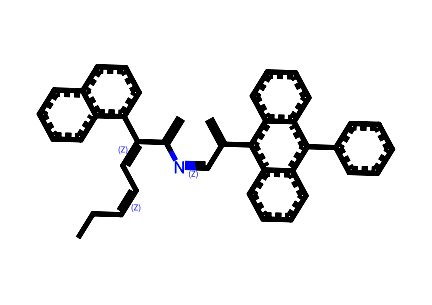 C=C(/N=C\C(=C)c1c2ccccc2c(-c2ccccc2)c2ccccc12)/C(=C\C=C/CC)c1cccc2ccccc12